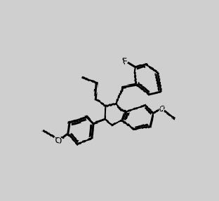 CCCC1C(c2ccc(OC)cc2)Cc2ccc(OC)cc2C1Cc1ccccc1F